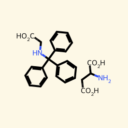 NC(CC(=O)O)C(=O)O.O=C(O)CNC(c1ccccc1)(c1ccccc1)c1ccccc1